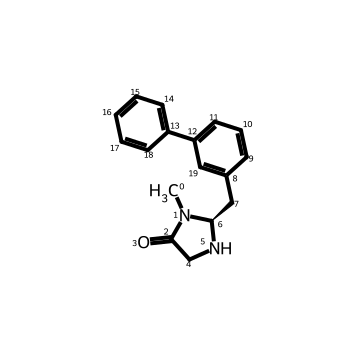 CN1C(=O)CN[C@@H]1Cc1cccc(-c2ccccc2)c1